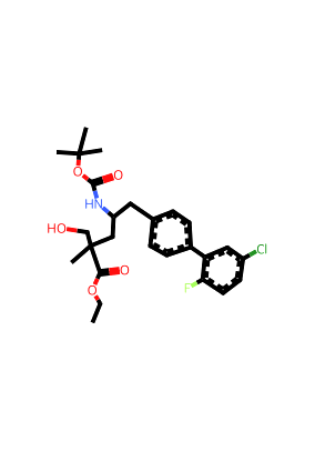 CCOC(=O)C(C)(CO)CC(Cc1ccc(-c2cc(Cl)ccc2F)cc1)NC(=O)OC(C)(C)C